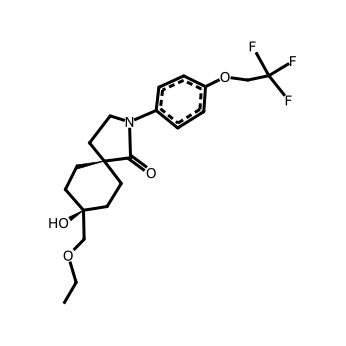 CCOC[C@]1(O)CC[C@]2(CCN(c3ccc(OCC(F)(F)F)cc3)C2=O)CC1